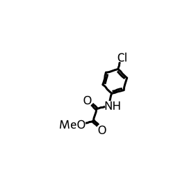 COC(=O)C(=O)Nc1ccc(Cl)cc1